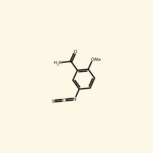 COc1ccc(N=C=S)cc1C(N)=O